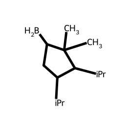 BC1CC(C(C)C)C(C(C)C)C1(C)C